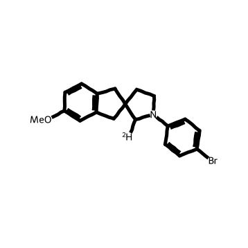 [2H]C1N(c2ccc(Br)cc2)CCC12Cc1ccc(OC)cc1C2